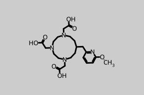 COc1cccc(CC2CCN(CC(=O)O)CCN(CC(=O)O)CCN(CC(=O)O)CC2)n1